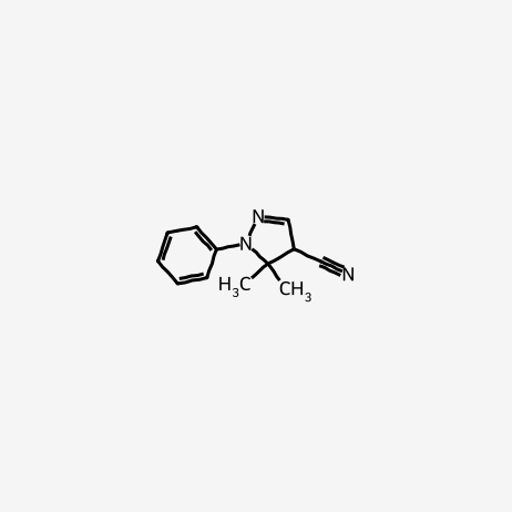 CC1(C)C(C#N)C=NN1c1ccccc1